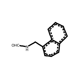 O=CNCc1cccc2ccccc12